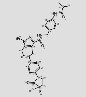 CC(C)n1nc(C(=O)NCc2ccc(NC(=O)N(C)C)cc2)c2c1CCN(c1ccc(N3CCC(F)(F)C3=O)cn1)C2